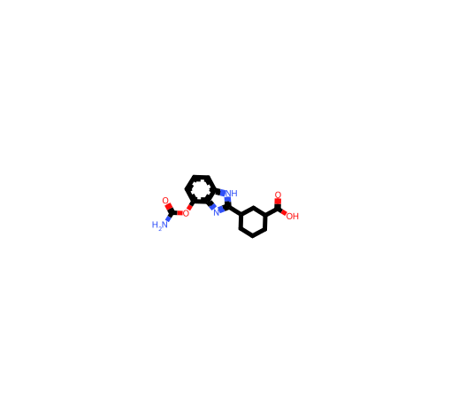 NC(=O)Oc1cccc2[nH]c(C3CCCC(C(=O)O)C3)nc12